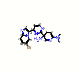 CN(C)C1=CCC(N)(c2nccc(-c3cnc4ccc(Br)cn34)n2)C=N1